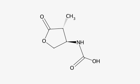 C[C@H]1C(=O)OC[C@@H]1NC(=O)O